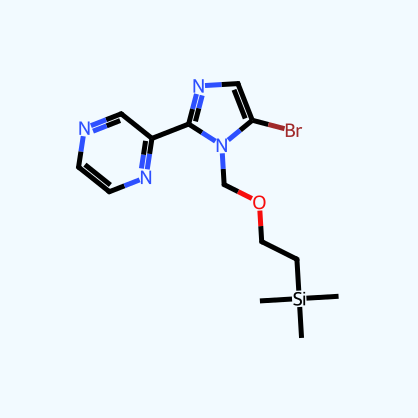 C[Si](C)(C)CCOCn1c(Br)cnc1-c1cnccn1